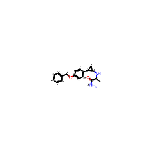 CC(NC1CC1c1ccc(OCc2ccccc2)cc1)C(N)=O